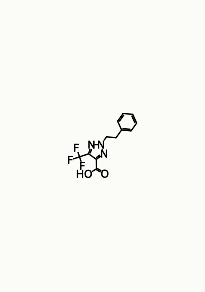 O=C(O)c1nn(CCc2ccccc2)nc1C(F)(F)F